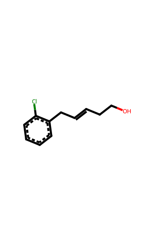 OCC/C=C/Cc1ccccc1Cl